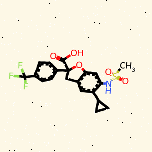 CS(=O)(=O)Nc1cc2c(cc1C1CC1)CC(C(=O)O)(c1ccc(C(F)(F)F)cc1)O2